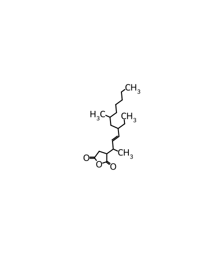 CCCCCC(C)CC(/C=C/C(C)C1CC(=O)OC1=O)CC